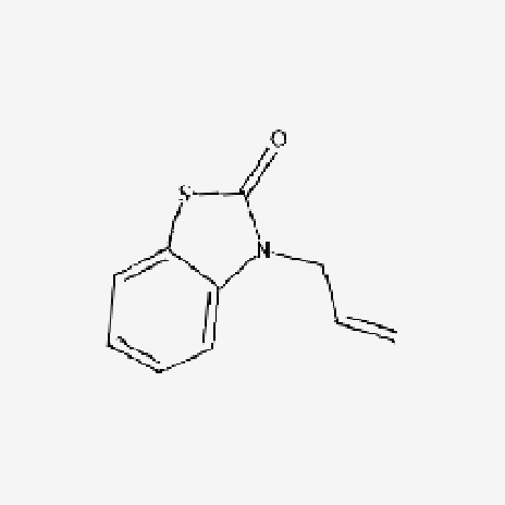 C=CCn1c(=O)sc2ccccc21